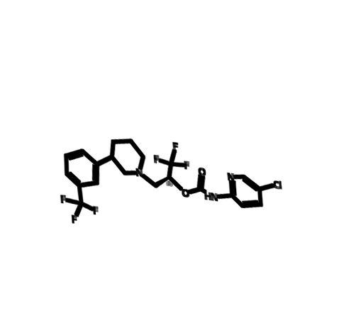 O=C(Nc1ccc(Cl)cn1)O[C@@H](CN1CCCC(c2cccc(C(F)(F)F)c2)C1)C(F)(F)F